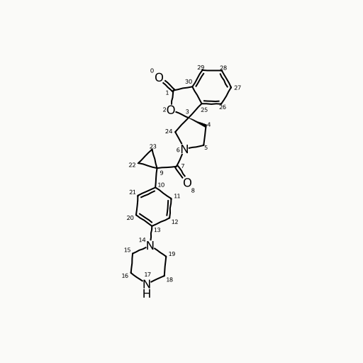 O=C1O[C@]2(CCN(C(=O)C3(c4ccc(N5CCNCC5)cc4)CC3)C2)c2ccccc21